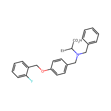 CCC(C(=O)O)N(Cc1ccccc1)Cc1ccc(OCc2ccccc2F)cc1